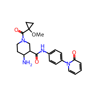 COC1(C(=O)N2CCC(N)C(C(=O)Nc3ccc(-n4ccccc4=O)cc3)C2)CC1